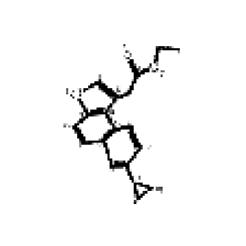 CCOC(=O)Cc1coc2ccc3cc(C4CC4)ccc3c12